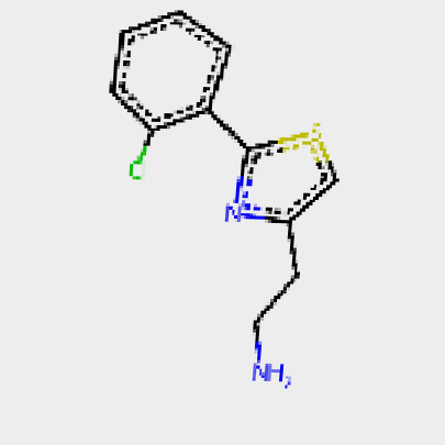 NCCc1csc(-c2ccccc2Cl)n1